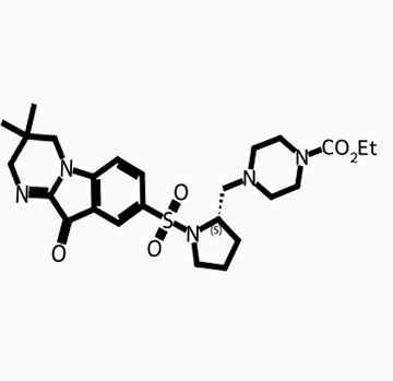 CCOC(=O)N1CCN(C[C@@H]2CCCN2S(=O)(=O)c2ccc3c(c2)C(=O)C2=NCC(C)(C)CN23)CC1